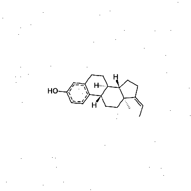 C/C=C1/CC[C@H]2[C@@H]3CCc4cc(O)ccc4[C@H]3CC[C@]12C